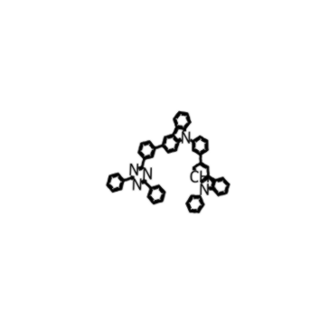 C=C/C(=C\c1cn(-c2ccccc2)c2ccccc12)c1cccc(-n2c3ccccc3c3cc(-c4cccc(-c5nc(-c6ccccc6)nc(-c6ccccc6)n5)c4)ccc32)c1